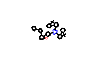 CC1(C)c2ccccc2-c2c(-c3nc(-c4ccc5c(c4)oc4cccc(-c6cccc(-c7ccccc7)c6)c45)nc(-c4cccc5c4-c4ccccc4C5(C)C)n3)cccc21